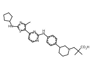 Cc1nc(NC2CCCC2)sc1-c1ccnc(Nc2ccc(C3CCCN(CC(C)(C)C(=O)O)C3)cc2)n1